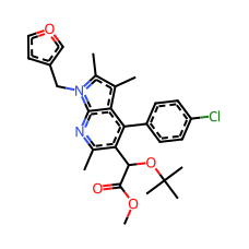 COC(=O)C(OC(C)(C)C)c1c(C)nc2c(c(C)c(C)n2Cc2ccoc2)c1-c1ccc(Cl)cc1